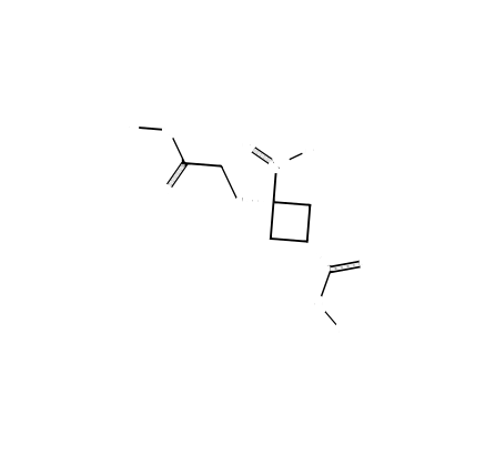 COC(=O)CC[C@]1([N+](=O)[O-])C[C@H](C(=O)OC)C1